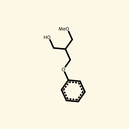 COCC(CO)COc1cc[c]cc1